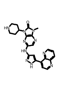 Cn1c(=O)n(C2CCNCC2)c2nc(Nc3cc(-c4ccnc5cccnc45)[nH]n3)cnc21